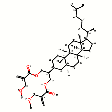 C=C(COC)C(=O)OCC(COC(=O)C(=C)COC)C1CC[C@@]2(C)[C@@H](CC[C@@H]3[C@@H]2CC[C@]2(C)C([C@H](C)CCCC(C)C)CC[C@@H]32)C1